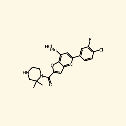 CC(C)(C)c1cc(-c2ccc(Cl)c(F)c2)nc2cc(C(=O)N3CCNCC3(C)C)oc12.Cl